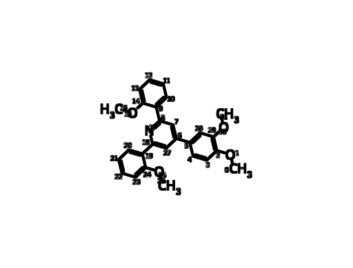 COc1ccc(-c2cc(-c3ccccc3OC)nc(-c3ccccc3OC)c2)cc1OC